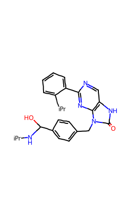 CC(C)NC(O)c1ccc(Cn2c(=O)[nH]c3cnc(-c4ccccc4C(C)C)nc32)cc1